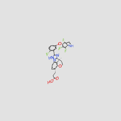 C[C@]1(c2n[nH]c(-c3cc(Oc4c(F)c(F)c5[nH]ccc5c4F)ccc3F)n2)CCOc2c(CCC(=O)O)cccc21